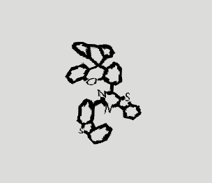 c1ccc2c(c1)Oc1c(-c3nc(-c4cccc5sc6ccccc6c45)nc4c3sc3ccccc34)cccc1C21c2ccccc2-c2ccccc21